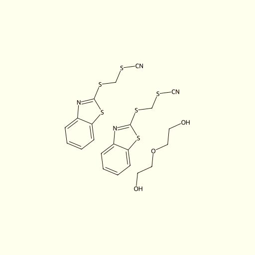 N#CSCSc1nc2ccccc2s1.N#CSCSc1nc2ccccc2s1.OCCOCCO